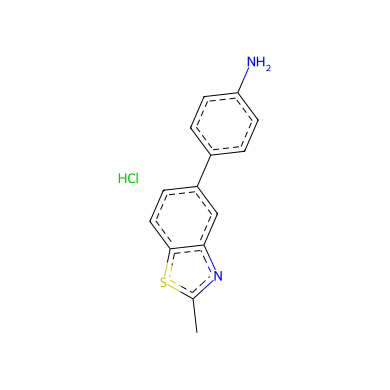 Cc1nc2cc(-c3ccc(N)cc3)ccc2s1.Cl